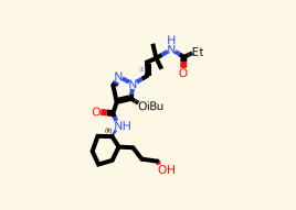 CCC(=O)NC(C)(C)/C=C/n1ncc(C(=O)N[C@@H]2CCCCC2CCCO)c1OCC(C)C